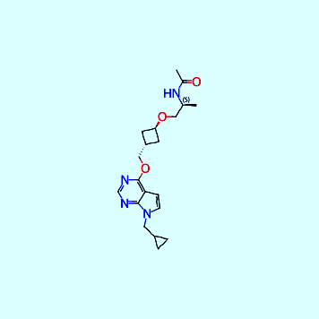 CC(=O)N[C@@H](C)CO[C@H]1C[C@H](COc2ncnc3c2ccn3CC2CC2)C1